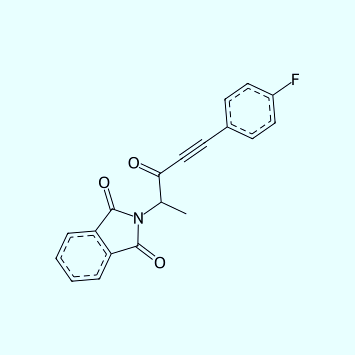 CC(C(=O)C#Cc1ccc(F)cc1)N1C(=O)c2ccccc2C1=O